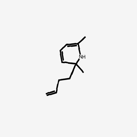 C=CCCC1(C)C=CC=C(C)N1